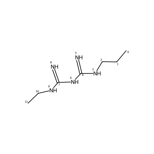 CCCNC(=N)NC(=N)NCC